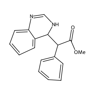 COC(=O)C(c1ccccc1)C1NC=Nc2ccccc21